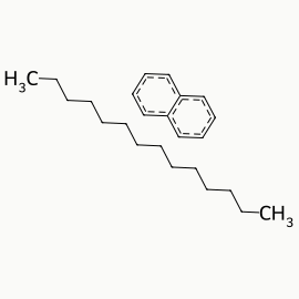 CCCCCCCCCCCCCC.c1ccc2ccccc2c1